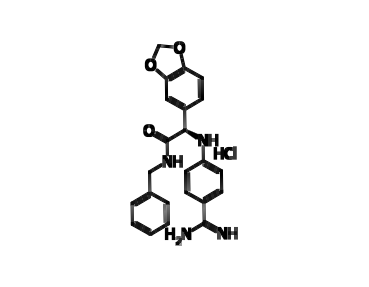 Cl.N=C(N)c1ccc(N[C@@H](C(=O)NCc2ccccc2)c2ccc3c(c2)OCO3)cc1